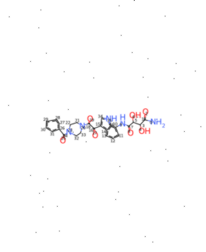 NC(=O)C(O)C(O)C(=O)Nc1cccc2c(C(=O)C(=O)N3CCN(C(=O)c4ccccc4)CC3)c[nH]c12